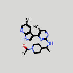 CCC(=O)N1CCC(C(C)Nc2ncc(C#N)c(-c3c[nH]c4ncc(C(F)(F)F)cc34)n2)CC1